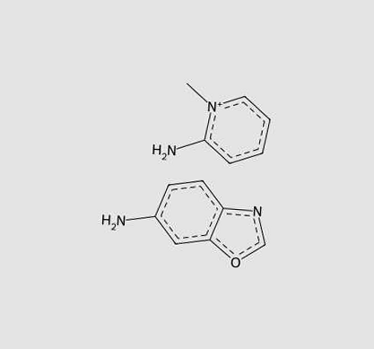 C[n+]1ccccc1N.Nc1ccc2ncoc2c1